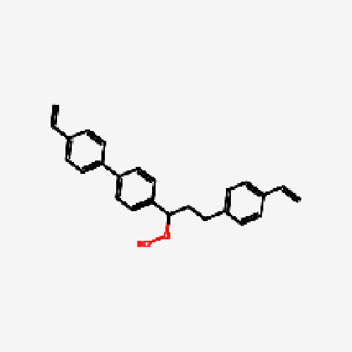 C=Cc1ccc(CCC(OO)c2ccc(-c3ccc(C=C)cc3)cc2)cc1